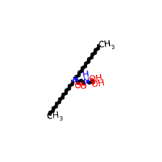 CCCCCCCCCCCCCCCCN(CCCCCCCCCCCCCCCC)C(=O)CC(=O)NCC(O)O